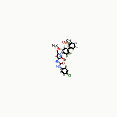 COCC1C[C@@H](NC(=O)Nc2ccc(Cl)cc2F)C(=O)N1c1ccc(-c2ccccc2P(C)(C)=O)c(F)c1F